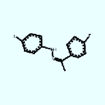 CC(=NNc1ccc(F)cc1)c1ccc(F)cc1